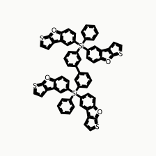 c1ccc([Si](c2cccc(-c3cccc([Si](c4ccccc4)(c4ccc5oc6sccc6c5c4)c4ccc5oc6sccc6c5c4)c3)c2)(c2ccc3oc4sccc4c3c2)c2ccc3oc4sccc4c3c2)cc1